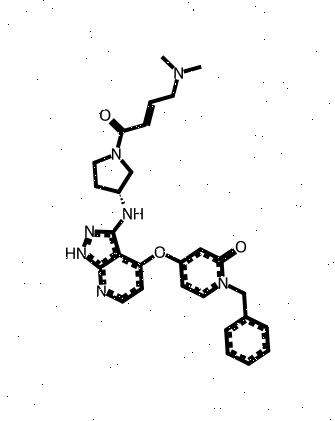 CN(C)C/C=C/C(=O)N1CC[C@@H](Nc2n[nH]c3nccc(Oc4ccn(Cc5ccccc5)c(=O)c4)c23)C1